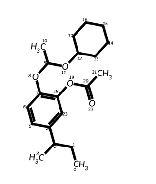 CCC(C)c1ccc(OC(C)OC2CCCCC2)c(OC(C)=O)c1